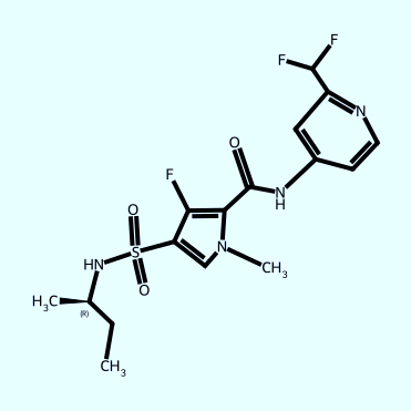 CC[C@@H](C)NS(=O)(=O)c1cn(C)c(C(=O)Nc2ccnc(C(F)F)c2)c1F